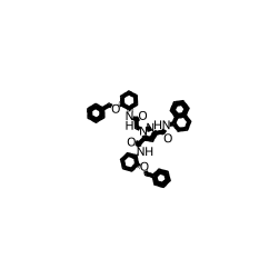 O=C(Cn1nc(C(=O)NC2CCCc3ccccc32)cc1C(=O)N[C@H]1CCCC[C@@H]1OCc1ccccc1)N[C@H]1CCCC[C@@H]1OCc1ccccc1